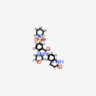 O=C1CCc2cc(NC(=O)c3cc(S(=O)(=O)N4CCCCC4)ccc3N3CCOCC3)ccc2N1